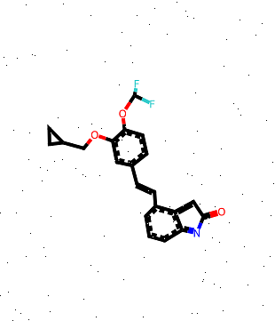 O=C1C=c2c(/C=C/c3ccc(OC(F)F)c(OCC4CC4)c3)cccc2=N1